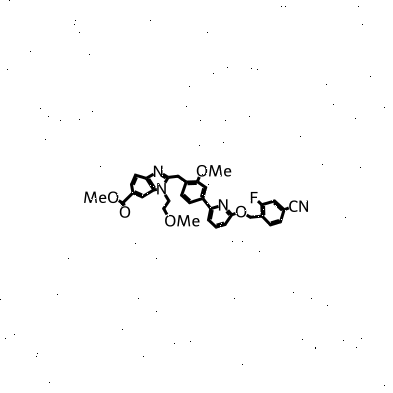 COCCn1c(Cc2ccc(-c3cccc(OCc4ccc(C#N)cc4F)n3)cc2OC)nc2ccc(C(=O)OC)cc21